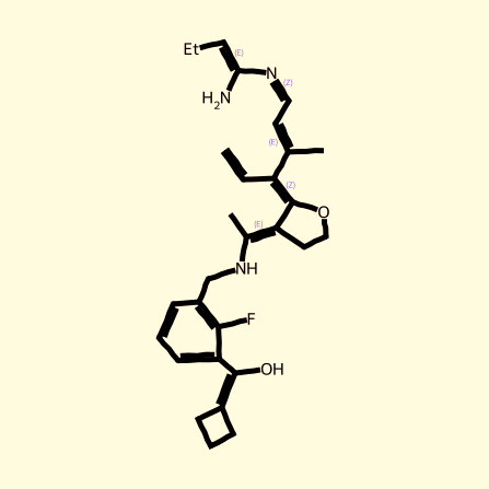 C=CC(=C1/OCC/C1=C(/C)NCc1cccc(C(O)=C2CCC2)c1F)/C(C)=C/C=N\C(N)=C\CC